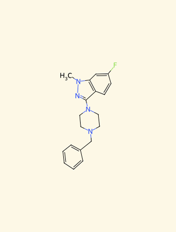 Cn1nc(N2CCN(Cc3ccccc3)CC2)c2ccc(F)cc21